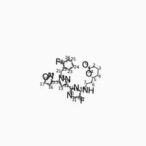 O=C1CCC[C@@H](CCNc2nc(-c3cc(-c4ccon4)n(Cc4ccccc4F)n3)ncc2F)O1